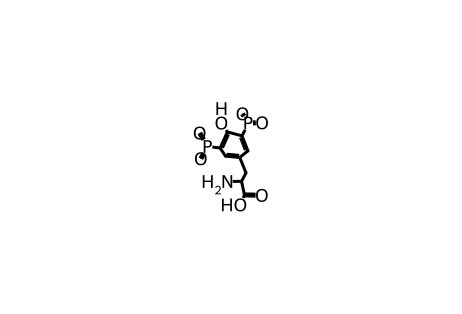 NC(Cc1cc(P(=O)=O)c(O)c(P(=O)=O)c1)C(=O)O